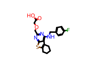 O=C(O)COCc1nc(NCc2ccc(F)cc2)c2c3c(sc2n1)CCCC3